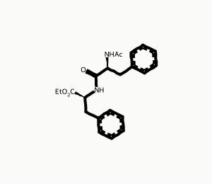 CCOC(=O)[C@H](Cc1ccccc1)NC(=O)[C@H](Cc1ccccc1)NC(C)=O